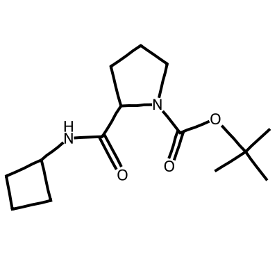 CC(C)(C)OC(=O)N1CCCC1C(=O)NC1CCC1